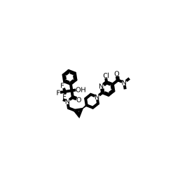 CN(C)C(=O)c1ccc(N2CCC([C@H]3C=C3CN(C)C(=O)C(O)(c3ccccc3)C(F)(F)F)CC2)nc1Cl